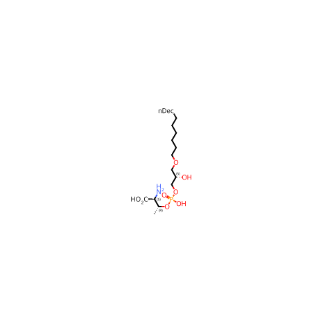 CCCCCCCCCCCCCCCCOC[C@H](O)COP(=O)(O)O[C@H](C)[C@H](N)C(=O)O